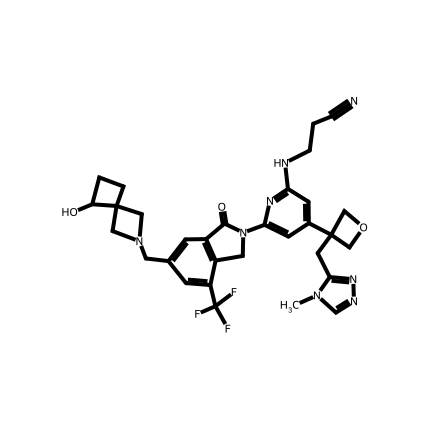 Cn1cnnc1CC1(c2cc(NCCC#N)nc(N3Cc4c(cc(CN5CC6(CCC6O)C5)cc4C(F)(F)F)C3=O)c2)COC1